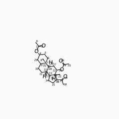 CC(=O)OC1CC[C@@]2(C)C(CC[C@H]3[C@@H]4CC[C@H](C(C)=O)[C@@]4(C)C(OC(C)=O)C[C@@H]32)C1